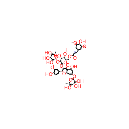 COc1cc(-c2oc3cc(O[C@@H]4OC(C)[C@H](O)C(O)[C@@H]4O)cc(O)c3c(=O)c2O[C@@H]2OC(COC(=O)/C=C/c3cc(OC)c(O)c(OC)c3)[C@@H](O)C(O)[C@@H]2OC2OC(C)[C@H](O)C(O)[C@@H]2O)ccc1O